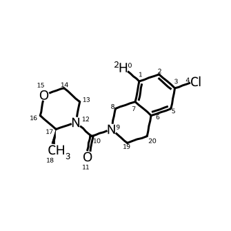 [2H]c1cc(Cl)cc2c1CN(C(=O)N1CCOC[C@@H]1C)CC2